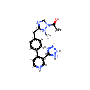 CCCC(=O)N1CN=C(Cc2ccc(-c3ccncc3-c3nnn[nH]3)cc2)N1CCC